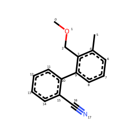 COCc1c(C)cccc1-c1ccccc1C#N